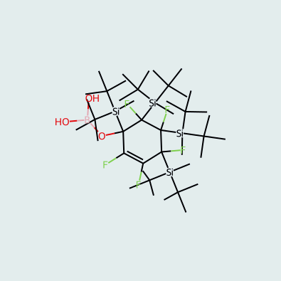 CC(C)(C)[Si](C)(C(C)(C)C)C1(F)C(F)=C(F)C(OB(O)O)([Si](C)(C(C)(C)C)C(C)(C)C)C(F)([Si](C)(C(C)(C)C)C(C)(C)C)C1(F)[Si](C)(C(C)(C)C)C(C)(C)C